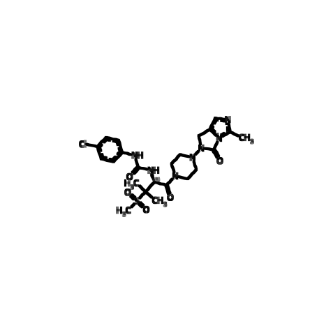 Cc1ncc2n1C(=O)N(N1CCN(C(=O)[C@H](NC(=O)Nc3ccc(Cl)cc3)C(C)(C)S(C)(=O)=O)CC1)C2